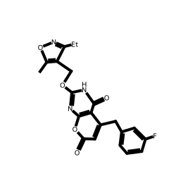 CCc1noc(C)c1COc1nc2oc(=O)cc(Cc3cccc(F)c3)c2c(=O)[nH]1